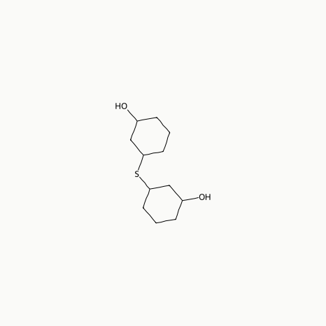 OC1CCCC(SC2CCCC(O)C2)C1